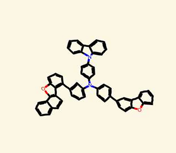 c1cc(-c2cccc3oc4c5ccccc5ccc4c23)cc(N(c2ccc(-c3ccc4oc5ccccc5c4c3)cc2)c2ccc(-n3c4ccccc4c4ccccc43)cc2)c1